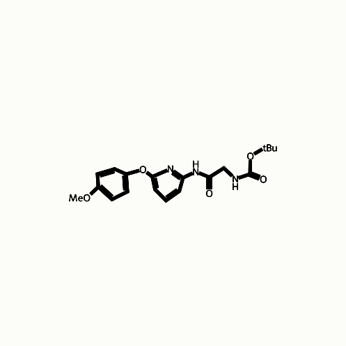 COc1ccc(Oc2cccc(NC(=O)CNC(=O)OC(C)(C)C)n2)cc1